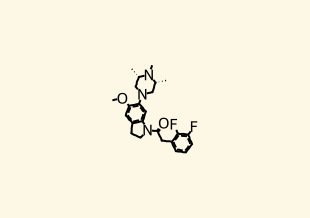 COc1cc2c(cc1N1C[C@@H](C)N(C)[C@@H](C)C1)N(C(=O)Cc1cccc(F)c1F)CC2